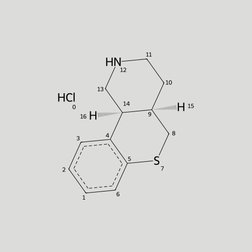 Cl.c1ccc2c(c1)SC[C@@H]1CCNC[C@H]21